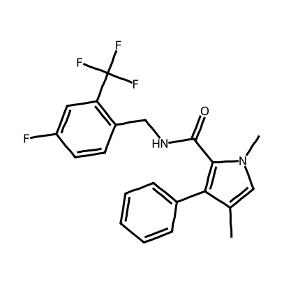 Cc1cn(C)c(C(=O)NCc2ccc(F)cc2C(F)(F)F)c1-c1ccccc1